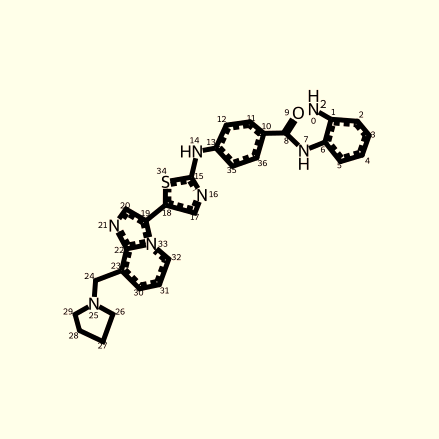 Nc1ccccc1NC(=O)c1ccc(Nc2ncc(-c3cnc4c(CN5CCCC5)cccn34)s2)cc1